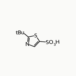 CC(C)(C)c1ncc(S(=O)(=O)O)s1